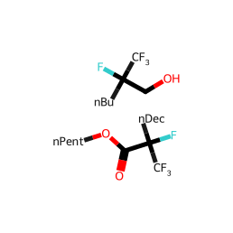 CCCCC(F)(CO)C(F)(F)F.CCCCCCCCCCC(F)(C(=O)OCCCCC)C(F)(F)F